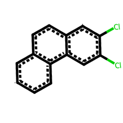 Clc1[c]c2ccc3c[c]ccc3c2cc1Cl